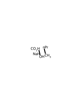 CCCC.O=C(O)O.[NaH]